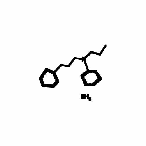 CCCN(CCCc1ccccc1)c1ccccc1.N